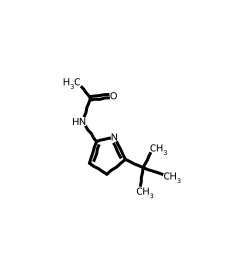 CC(=O)NC1=CCC(C(C)(C)C)=N1